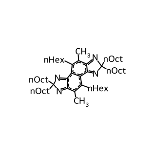 CCCCCCCCC1(CCCCCCCC)N=c2c(C)c(CCCCCC)c3c4c(c(C)c(CCCCCC)c3c2=N1)=NC(CCCCCCCC)(CCCCCCCC)N=4